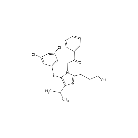 CC(C)c1nc(CCCO)n(CC(=O)c2ccccc2)c1Sc1cc(Cl)cc(Cl)c1